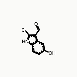 O=Cc1c(Cl)[nH]c2ccc(O)cc12